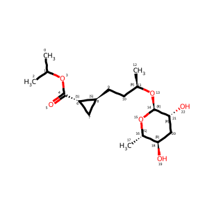 CC(C)OC(=O)[C@H]1C[C@@H]1CC[C@@H](C)O[C@@H]1O[C@@H](C)[C@H](O)C[C@H]1O